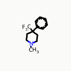 CN1CCC(c2ccccc2)(C(F)(F)F)CC1